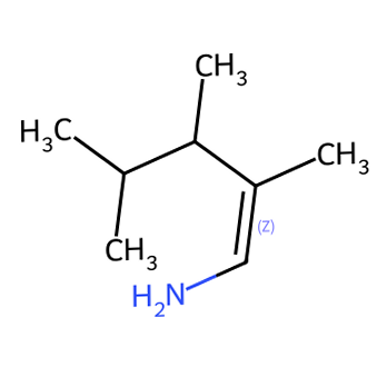 C/C(=C/N)C(C)C(C)C